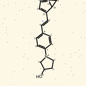 OC1CCN(c2ccc(/C=C/C3=CC=[N+]4CC34)cc2)C1